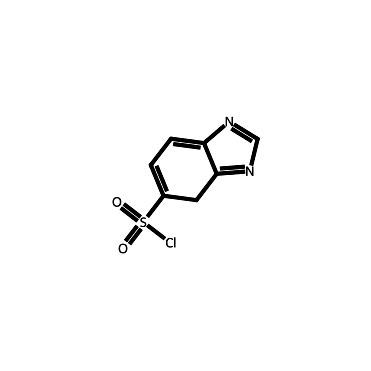 O=S(=O)(Cl)C1=CC=C2N=CN=C2C1